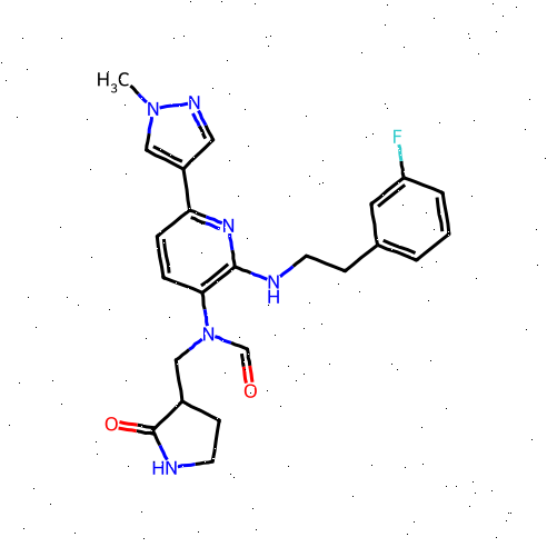 Cn1cc(-c2ccc(N(C=O)CC3CCNC3=O)c(NCCc3cccc(F)c3)n2)cn1